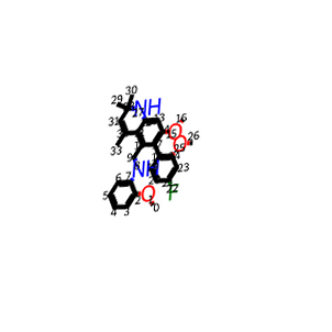 COc1ccccc1NCc1c2c(cc(OC)c1-c1ccc(F)cc1OC)NC(C)(C)C=C2C